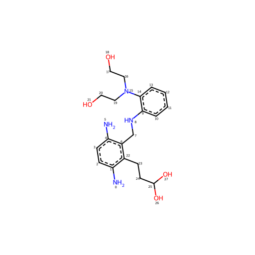 Nc1ccc(N)c(CNc2ccccc2N(CCO)CCO)c1CCC(O)O